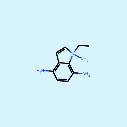 CC[N+]1(N)C=Cc2c(N)ccc(N)c21